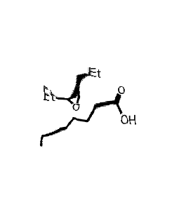 CCC1OC1CC.CCCCCCC(=O)O